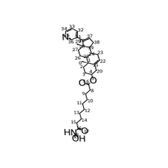 C[C@]12CC[C@H](OC(=O)CCCCCCCCC(=O)NO)CC1=CCC1C2CC[C@]2(C)C(c3cccnc3)=CCC12